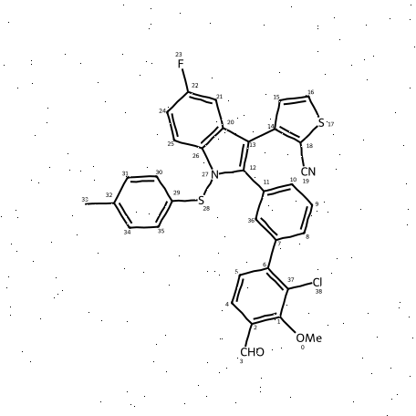 COc1c(C=O)ccc(-c2cccc(-c3c(-c4ccsc4C#N)c4cc(F)ccc4n3Sc3ccc(C)cc3)c2)c1Cl